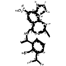 Cc1nc(NC(C)c2cccc(C(F)F)c2F)c2cc(C(=O)O)c3nnnn3c2n1